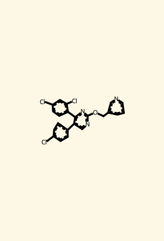 Clc1ccc(-c2cnc(OCc3cccnc3)nc2-c2ccc(Cl)cc2Cl)cc1